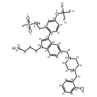 CS(=O)(=O)NCc1cc(OC(F)(F)F)ccc1-c1cn(CCCN)c2ccc(CN3CCN(Cc4ccccc4Cl)CC3)cc12